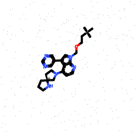 C[Si](C)(C)CCOCn1cc(-c2cncnc2)c2c(N3CC[C@@]4(CCCN4)C3)ccnc21